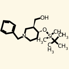 CC(C)(C)[Si](C)(C)O[C@@H]1CCN(Cc2ccccc2)C[C@H]1CO